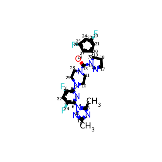 Cc1nc(C)n(-c2nc(N3CCN(C(=O)N4N=CC[C@H]4c4cc(F)cc(F)c4)CC3)c(F)cc2F)n1